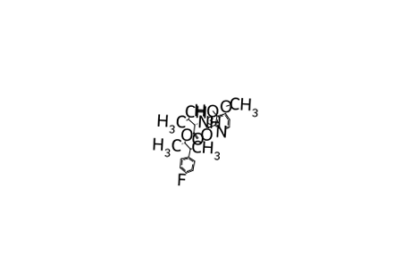 COc1ccnc(C(=O)N[C@H](C(=O)O[C@@H](C)[C@@H](C)c2ccc(F)cc2)C(C)C)c1O